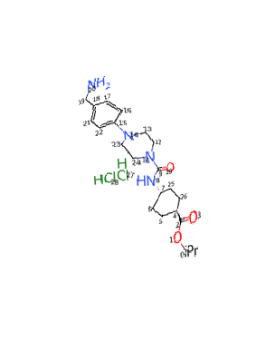 CC(C)OC(=O)[C@H]1CC[C@H](NC(=O)N2CCN(c3ccc(CN)cc3)CC2)CC1.Cl.Cl